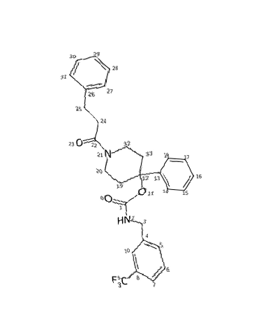 O=C(NCc1cccc(C(F)(F)F)c1)OC1(c2ccccc2)CCN(C(=O)CCc2ccccc2)CC1